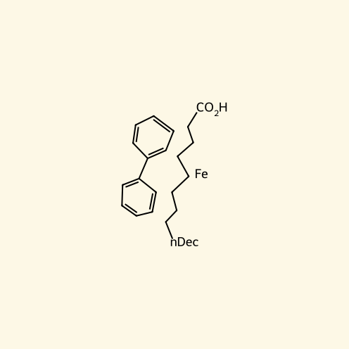 CCCCCCCCCCCCCCCCCC(=O)O.[Fe].c1ccc(-c2ccccc2)cc1